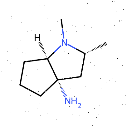 C[C@@H]1C[C@@]2(N)CCC[C@H]2N1C